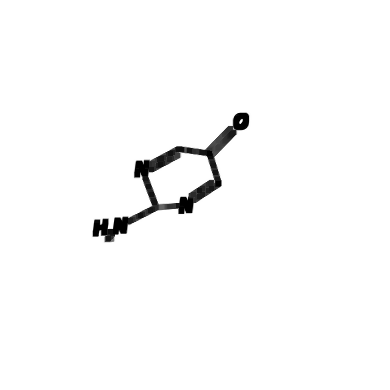 NC1N=CC(=O)C=N1